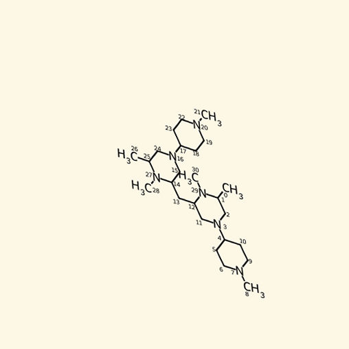 CC1CN(C2CCN(C)CC2)CC(CC2CN(C3CCN(C)CC3)CC(C)N2C)N1C